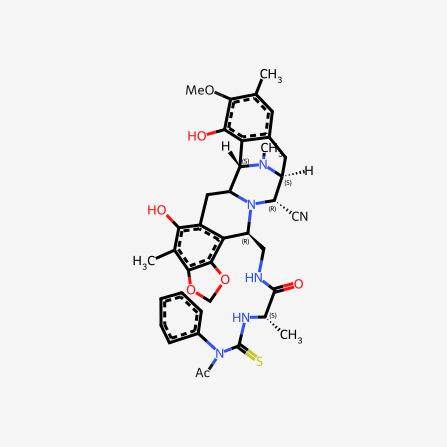 COc1c(C)cc2c(c1O)[C@H]1C3Cc4c(O)c(C)c5c(c4[C@H](CNC(=O)[C@H](C)NC(=S)N(C(C)=O)c4ccccc4)N3[C@@H](C#N)[C@H](C2)N1C)OCO5